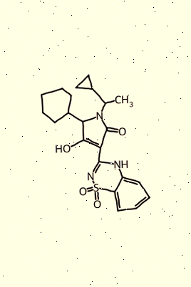 CC(C1CC1)N1C(=O)C(C2=NS(=O)(=O)c3ccccc3N2)=C(O)C1C1CCCCC1